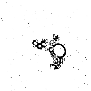 C[C@@H]1CC/C=C\[C@@H]2C[C@@]2(C(=O)NS(=O)(=O)C2(CF)CC2)NC(=O)[C@@H]2C[C@@H](Oc3nccc4c5c(ccc34)OCCO5)CN2C(=O)[C@@H](N(C(=O)O)C(C)(C)C(C)(F)F)[C@H](C)C1